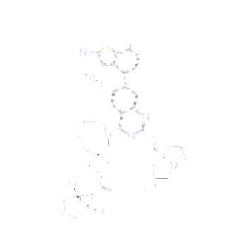 N#Cc1c(N)sc2c(F)ccc(-c3c(Cl)cc4c(N5CCCCC6(CN(C(=O)[C@@H]7[C@@H]8COC[C@@H]87)C6)C5)nc(OC[C@@]56CCCN5C[C@H](F)C6)nc4c3F)c12